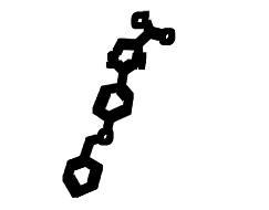 O=C(Cl)c1csc(-c2ccc(OCc3ccccc3)cc2)n1